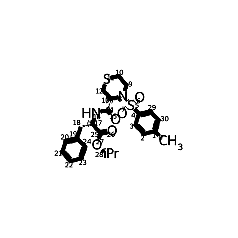 Cc1ccc(S(=O)(=O)N2CCSC[C@H]2C(=O)N[C@@H](Cc2ccccc2)C(=O)OC(C)C)cc1